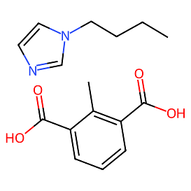 CCCCn1ccnc1.Cc1c(C(=O)O)cccc1C(=O)O